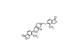 Cc1c(CCN2CCN3C[C@H](c4ccc5c(c4C)COC5=O)OC[C@@H]3C2)ccc2c1COC2=O